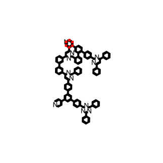 c1ccc(-c2cc(-c3ccccc3)nc(-c3ccc(-c4ccc(-c5ccncc5)cc4-c4ccccc4-c4nc(-c5ccccc5)cc(-c5cccc(-c6cccc(-c7cc(-c8ccc(-c9cc(-c%10ccncc%10)cc(-c%10ccc(-c%11nc(-c%12ccccc%12)nc(-c%12ccccc%12)n%11)cc%10)c9)cc8)nc(-c8ccccc8)n7)c6)c5)n4)cc3)n2)cc1